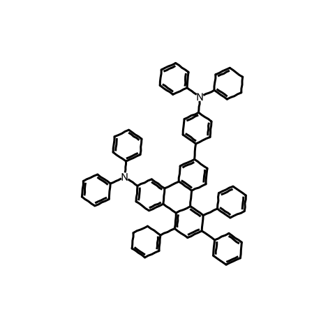 C1=CCCC(c2cc(-c3ccccc3)c(-c3ccccc3)c3c4ccc(-c5ccc(N(C6=CCCC=C6)c6ccccc6)cc5)cc4c4cc(N(c5ccccc5)c5ccccc5)ccc4c23)=C1